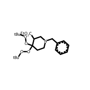 CCOC(=O)C1CN(Cc2ccccc2)CCC1(OOC(C)(C)C)OOC(C)(C)C